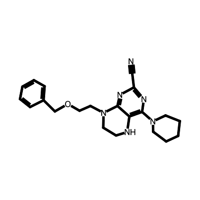 N#Cc1nc(N2CCCCC2)c2c(n1)N(CCOCc1ccccc1)CCN2